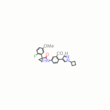 COc1ccc(F)c(C2(C(=O)Nc3ccc(-c4cnn(C5CCC5)c4)c(C(=O)O)c3)CC2)c1